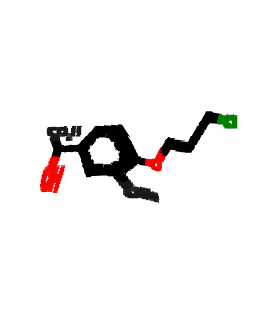 COc1cc(C(O)C(=O)O)ccc1OCCCCl